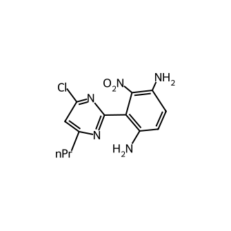 CCCc1cc(Cl)nc(-c2c(N)ccc(N)c2[N+](=O)[O-])n1